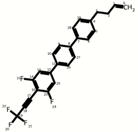 C=CCCc1ccc(-c2ccc(-c3cc(F)c(C#CC(F)(F)F)c(F)c3)cc2)cc1